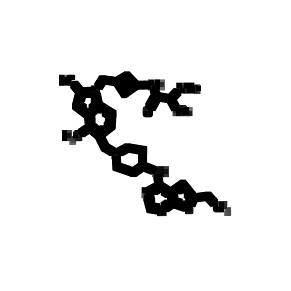 CCCCC(NC)C(=O)NC12CC(Cn3c(C#N)cc4c(C)c(CN5CCC(Nc6ncnc7sc(CC(F)(F)F)cc67)CC5)ccc43)(C1)C2